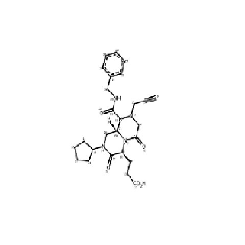 C#CCN1CC(=O)N2[C@@H](CCC(=O)O)C(=O)N(C3CCCC3)C[C@@H]2N1C(=O)NCc1ccccc1